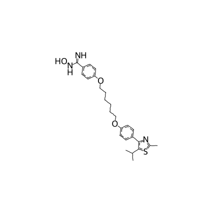 Cc1nc(-c2ccc(OCCCCCCOc3ccc(C(=N)NO)cc3)cc2)c(C(C)C)s1